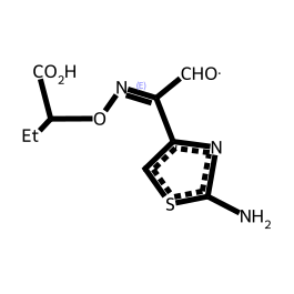 CCC(O/N=C(/[C]=O)c1csc(N)n1)C(=O)O